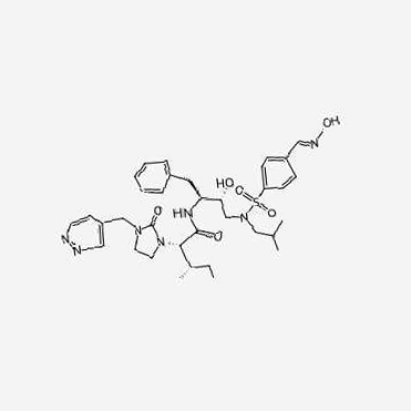 CC[C@H](C)[C@@H](C(=O)N[C@@H](Cc1ccccc1)[C@H](O)CN(CC(C)C)S(=O)(=O)c1ccc(C=NO)cc1)N1CCN(Cc2ccnnc2)C1=O